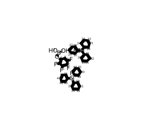 OB(O)Oc1cc(F)c(F)c(F)c1F.c1ccc([SiH](c2ccccc2)c2ccccc2)cc1.c1ccc([SiH](c2ccccc2)c2ccccc2)cc1